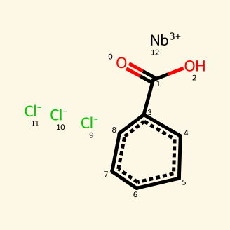 O=C(O)c1ccccc1.[Cl-].[Cl-].[Cl-].[Nb+3]